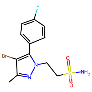 Cc1nn(CCS(N)(=O)=O)c(-c2ccc(F)cc2)c1Br